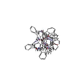 CCC[Si](CCC)(CCC)O[Si]1(O[Si]2(O[Si](CCC)(CCC)CCC)n3c4c5ccccc5c3/N=C3N=C(/N=c5/c6ccccc6/c(n52)=N/C2=NC(=N\4)/c4ccccc42)c2ccccc2\3)n2c3c4ccccc4c2/N=C2N=C(/N=c4/c5ccccc5/c(n41)=N/C1=NC(=N\3)/c3ccccc31)c1ccccc1\2